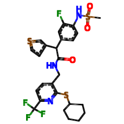 CS(=O)(=O)Nc1ccc(C(C(=O)NCc2ccc(C(F)(F)F)nc2SC2CCCCC2)c2ccsc2)cc1F